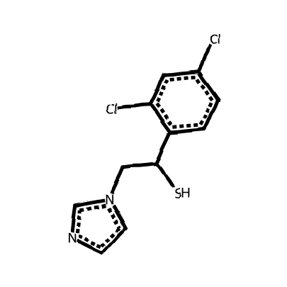 SC(Cn1ccnc1)c1ccc(Cl)cc1Cl